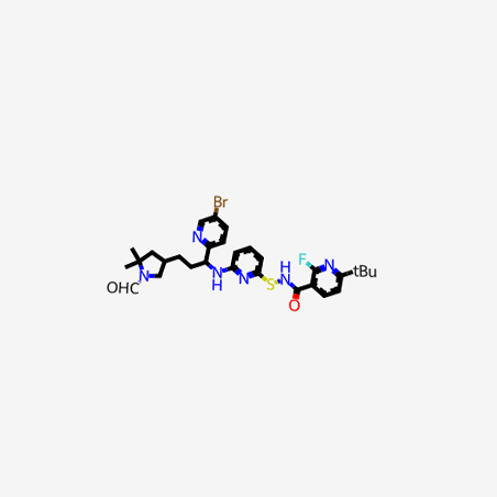 CC(C)(C)c1ccc(C(=O)NSc2cccc(NC(CCC3CN(C=O)C(C)(C)C3)c3ccc(Br)cn3)n2)c(F)n1